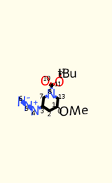 CO[C@@H]1CC(N=[N+]=[N-])CN(C(=O)OC(C)(C)C)C1